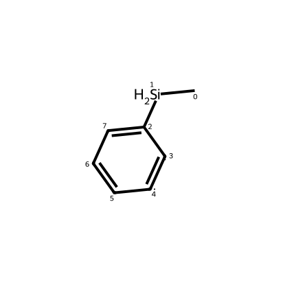 C[SiH2]c1[c][c]ccc1